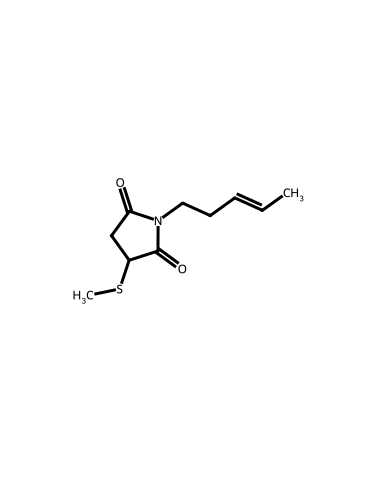 CC=CCCN1C(=O)CC(SC)C1=O